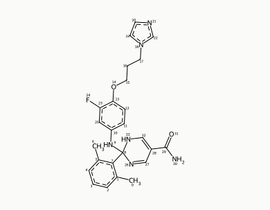 Cc1cccc(C)c1C1(Nc2ccc(OCCCn3ccnc3)c(F)c2)N=CC(C(N)=O)=CN1